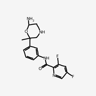 CC1(c2cccc(NC(=O)c3ncc(F)cc3F)c2)CNCC(N)O1